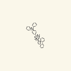 c1ccc(N(c2ccccc2)c2ccc(-c3nc(-c4cccc5c4oc4ccccc45)ns3)cc2)cc1